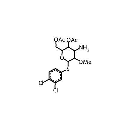 COC1C(Sc2ccc(Cl)c(Cl)c2)OC(COC(C)=O)C(OC(C)=O)C1N